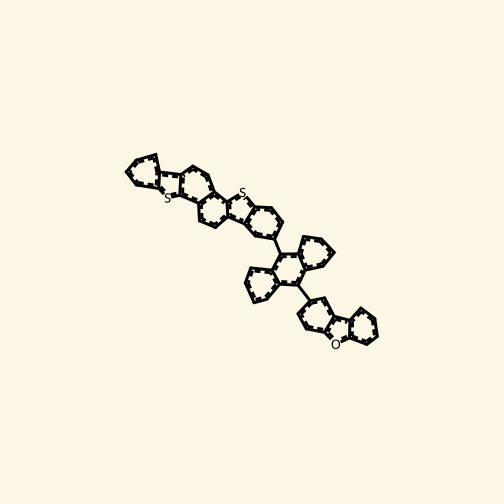 c1ccc2c(c1)oc1ccc(-c3c4ccccc4c(-c4ccc5sc6c(ccc7c6ccc6c8ccccc8sc67)c5c4)c4ccccc34)cc12